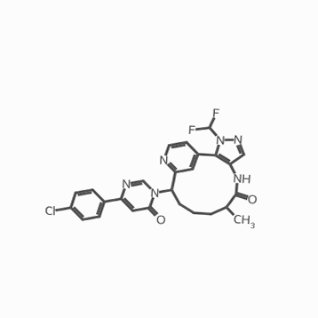 CC1CCCC(n2cnc(-c3ccc(Cl)cc3)cc2=O)c2cc(ccn2)-c2c(cnn2C(F)F)NC1=O